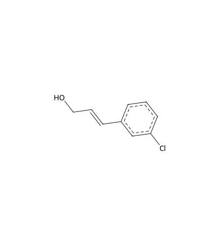 OCC=Cc1cccc(Cl)c1